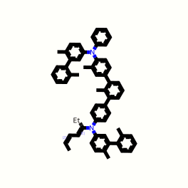 C/C=C\C=C(/CC)N(c1ccc(-c2cccc(-c3ccc(N(c4ccccc4)c4ccc(C)c(-c5ccccc5C)c4)c(C)c3)c2C)cc1)c1ccc(C)c(-c2ccccc2C)c1